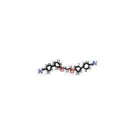 N#Cc1ccc(-c2ccc(OCCCOc3cccc(-c4ccc(C#N)cc4)c3)cc2)cc1